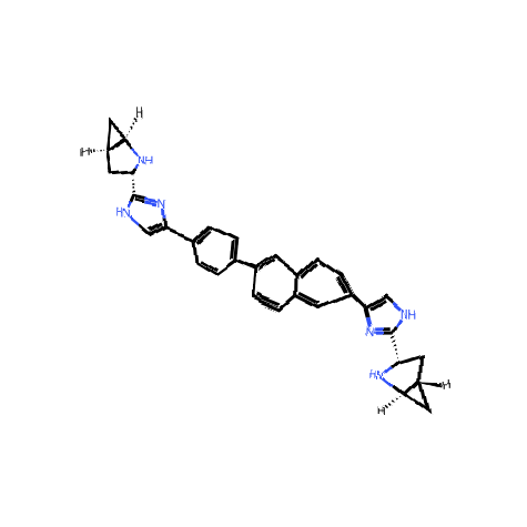 c1cc(-c2c[nH]c([C@@H]3C[C@H]4C[C@H]4N3)n2)ccc1-c1ccc2cc(-c3c[nH]c([C@@H]4C[C@@H]5C[C@H]5N4)n3)ccc2c1